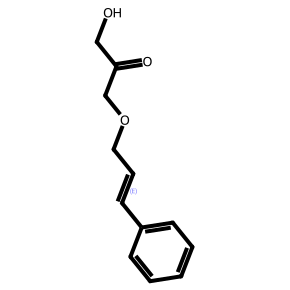 O=C(CO)COC/C=C/c1ccccc1